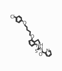 O=C(NC(=S)N1CCc2c(OCCCCCOc3ccc(Cl)cc3)cccc21)c1ccccn1